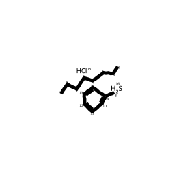 CCCCCCCC.Cc1ccccc1.Cl.S